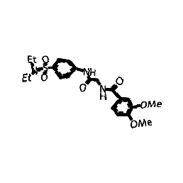 CCN(CC)S(=O)(=O)c1ccc(NC(=O)CNC(=O)c2ccc(OC)c(OC)c2)cc1